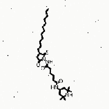 CCCCCCCCCCCCC1CC(=O)N(NC(=O)CCCCC(=O)NC2CC(C)(C)NC(C)(C)C2)C1=S